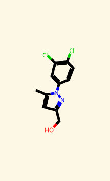 Cc1cc(CO)nn1-c1ccc(Cl)c(Cl)c1